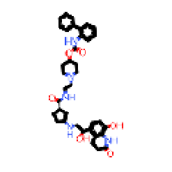 O=C1CCc2c(C(O)CN[C@H]3CC[C@@H](C(=O)NCCN4CCC(OC(=O)Nc5ccccc5-c5ccccc5)CC4)C3)ccc(O)c2N1